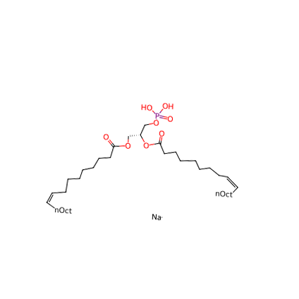 CCCCCCCC/C=C\CCCCCCCC(=O)OC[C@H](COP(=O)(O)O)OC(=O)CCCCCCC/C=C\CCCCCCCC.[Na]